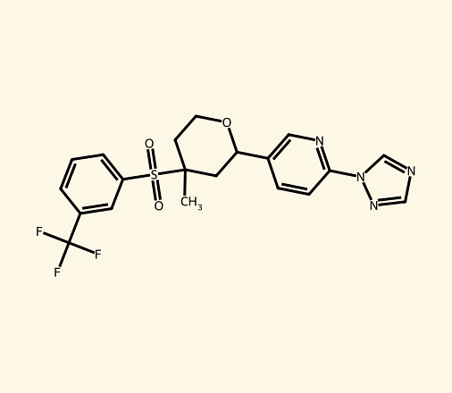 CC1(S(=O)(=O)c2cccc(C(F)(F)F)c2)CCOC(c2ccc(-n3cncn3)nc2)C1